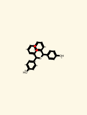 Oc1ccc(C(SC(c2ccccc2)c2ccc(O)cc2)c2ccccc2)cc1